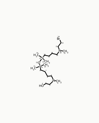 CN(CCO)CCCC[Si](C)(C)O[Si](C)(C)CCCCN(C)CCBr